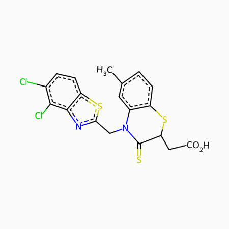 Cc1ccc2c(c1)N(Cc1nc3c(Cl)c(Cl)ccc3s1)C(=S)C(CC(=O)O)S2